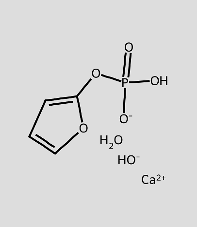 O.O=P([O-])(O)Oc1ccco1.[Ca+2].[OH-]